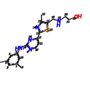 Cc1cc(C)cc(Nc2nccc(-c3nc(C)c(CNCCO)s3)n2)c1